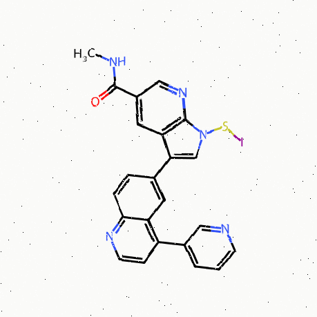 CNC(=O)c1cnc2c(c1)c(-c1ccc3nccc(-c4cccnc4)c3c1)cn2SI